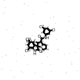 O=C(Nc1cc(Cl)cc(Cl)c1)C1C2CCCN2C2(C(=O)Nc3c(Cl)cc(Cl)cc32)C1C(=O)O